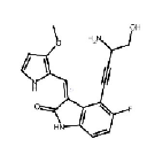 COc1cc[nH]c1/C=C1\C(=O)Nc2ccc(F)c(C#CC(N)CO)c21